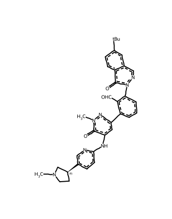 CN1CC[C@H](c2ccc(Nc3cc(-c4cccc(-n5ncc6cc(C(C)(C)C)ccc6c5=O)c4C=O)nn(C)c3=O)nc2)C1